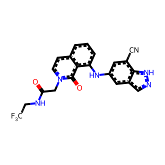 N#Cc1cc(Nc2cccc3ccn(CC(=O)NCC(F)(F)F)c(=O)c23)cc2cn[nH]c12